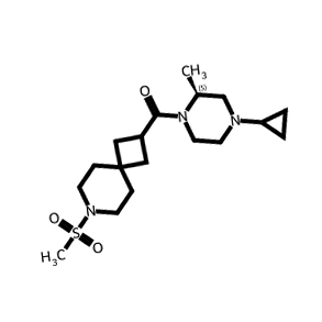 C[C@H]1CN(C2CC2)CCN1C(=O)C1CC2(CCN(S(C)(=O)=O)CC2)C1